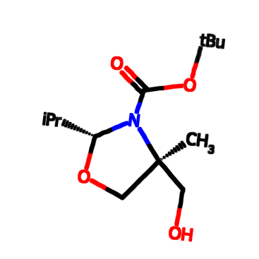 CC(C)[C@H]1OC[C@](C)(CO)N1C(=O)OC(C)(C)C